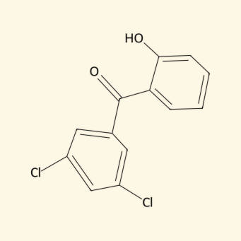 O=C(c1cc(Cl)cc(Cl)c1)c1ccccc1O